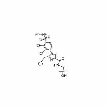 CC(C)NS(=O)(=O)c1ccc(-c2sc(C(=O)NCC(C)(C)O)nc2CC2CCC2)c(Cl)c1Cl